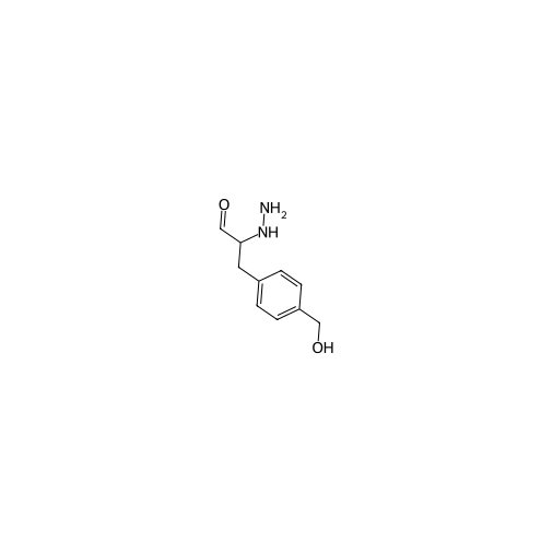 NNC(C=O)Cc1ccc(CO)cc1